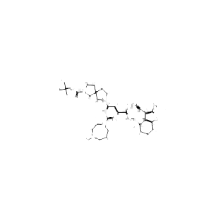 C[C@H]1CN(C)CCCN1c1nc(/C(N)=N/O[C@@]2(C)CCCc3sc(N)c(C#N)c32)cc(N2CCC3(CCN(C(=O)OC(C)(C)C)C3)C2)n1